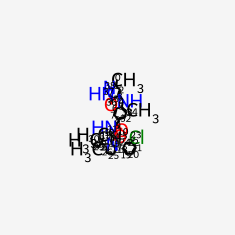 Cc1cc(Nc2ccc(C(=O)NC(C)C(=O)N3[C@H](c4cccc(Cl)c4)CC[C@@H]3C(C)(C)C#N)cc2C)c(=O)[nH]n1